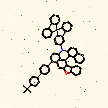 CC(C)(C)c1ccc(-c2ccc(-c3ccc(N(c4ccc5c(c4)-c4ccccc4C54c5ccccc5-c5ccccc54)c4ccc5ccccc5c4-c4cccc5oc6ccccc6c45)cc3)cc2)cc1